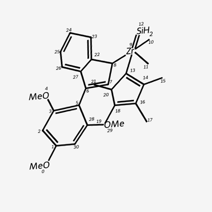 COc1cc(OC)c(C2=C[CH]([Zr]([CH3])([CH3])(=[SiH2])[C]3=C(C)C(C)=C(C)C3C)c3ccccc32)c(OC)c1